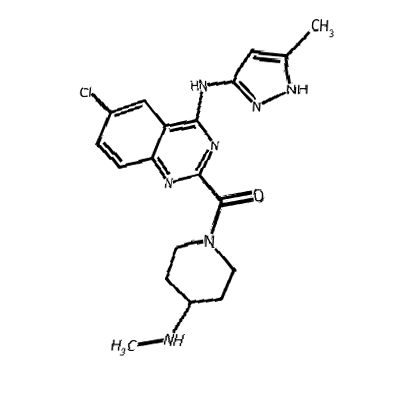 CNC1CCN(C(=O)c2nc(Nc3cc(C)[nH]n3)c3cc(Cl)ccc3n2)CC1